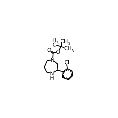 CC(C)(C)OC(=O)N1CCCNC(c2ccccc2Cl)C1